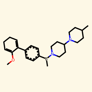 COC1=CCCC=C1c1ccc(B(C)N2CCC(N3CCC(C)CC3)CC2)cc1